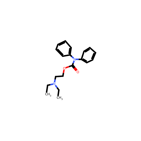 CCN(CC)CCOC(=O)N(c1ccccc1)c1ccccc1